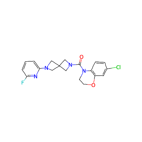 O=C(N1CC2(C1)CN(c1cccc(F)n1)C2)N1CCOc2cc(Cl)ccc21